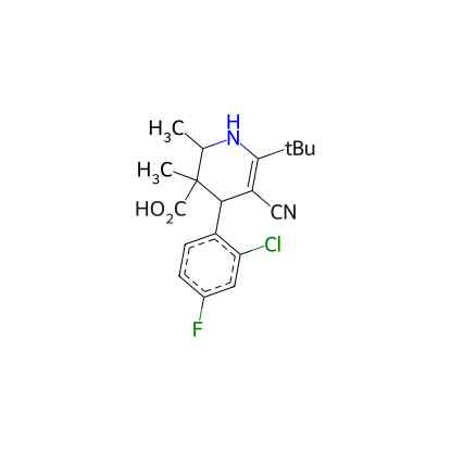 CC1NC(C(C)(C)C)=C(C#N)C(c2ccc(F)cc2Cl)C1(C)C(=O)O